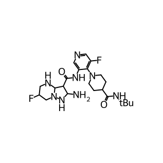 CC(C)(C)NC(=O)C1CCN(c2c(F)cncc2NC(=O)C2C(N)NN3CC(F)CNC23)CC1